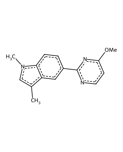 COc1ccnc(-c2ccc3c(c2)c(C)cn3C)n1